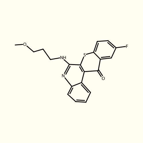 COCCCNc1nc2ccccc2c2c(=O)c3cc(F)ccc3sc12